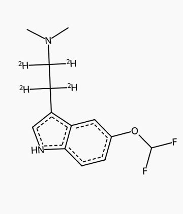 [2H]C([2H])(c1c[nH]c2ccc(OC(F)F)cc12)C([2H])([2H])N(C)C